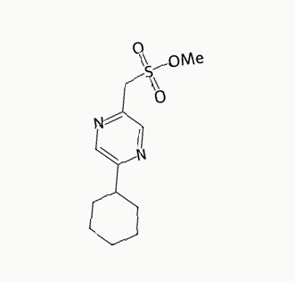 COS(=O)(=O)Cc1cnc(C2CCCCC2)cn1